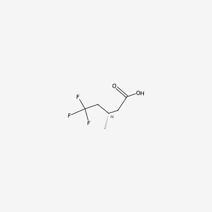 C[C@@H](CC(=O)O)CC(F)(F)F